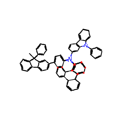 CC1(c2ccccc2)c2ccccc2-c2ccc(-c3ccc(N(c4ccc5c6c(n(-c7ccccc7)c5c4)=CCCC=6)C4C=CC=CC4c4ccccc4C4C=CC=CC4c4ccccc4)cc3)cc21